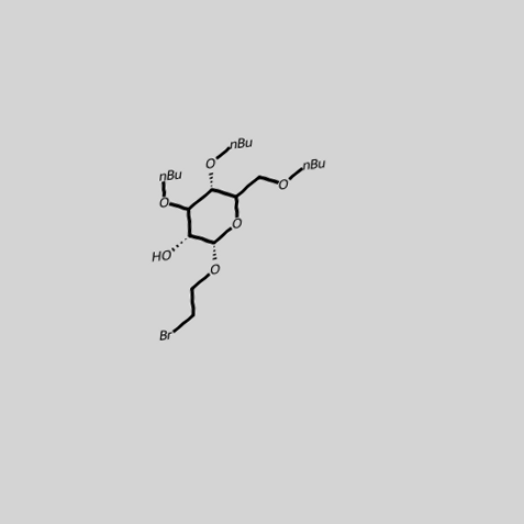 CCCCOCC1O[C@H](OCCBr)[C@H](O)C(OCCCC)[C@@H]1OCCCC